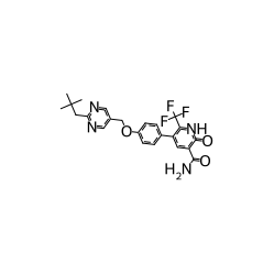 CC(C)(C)Cc1ncc(COc2ccc(-c3cc(C(N)=O)c(=O)[nH]c3C(F)(F)F)cc2)cn1